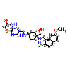 COc1ccc2ccc(F)c(CNC3(CO)CCC(NCc4cnc5c(n4)NC(=O)CS5)CC3)c2n1